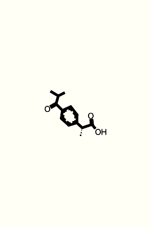 CC(C)C(=O)c1ccc([C@@H](C)C(=O)O)cc1